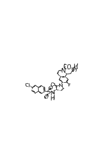 CC(C)CC1c2cc(F)c(N3CCC(NS(=O)(=O)c4ccc5cc(Cl)ccc5c4)C3=O)cc2CCN1C(=O)O